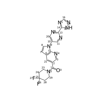 O=C(c1cnc2c(ccn2-c2cnc(-c3ncn[nH]3)nc2)c1)N1CCC(F)(F)CC1